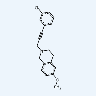 COc1ccc2c(c1)CCN(CC#Cc1cccc(Cl)c1)C2